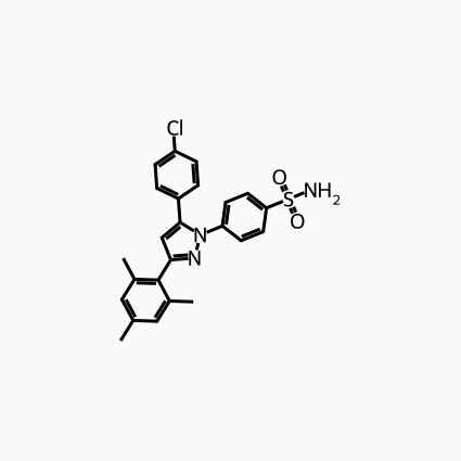 Cc1cc(C)c(-c2cc(-c3ccc(Cl)cc3)n(-c3ccc(S(N)(=O)=O)cc3)n2)c(C)c1